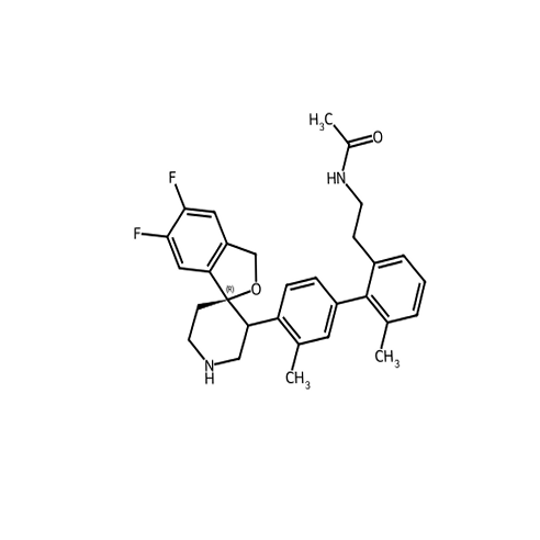 CC(=O)NCCc1cccc(C)c1-c1ccc(C2CNCC[C@@]23OCc2cc(F)c(F)cc23)c(C)c1